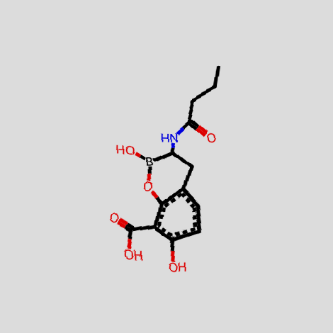 CCCC(=O)NC1Cc2ccc(O)c(C(=O)O)c2OB1O